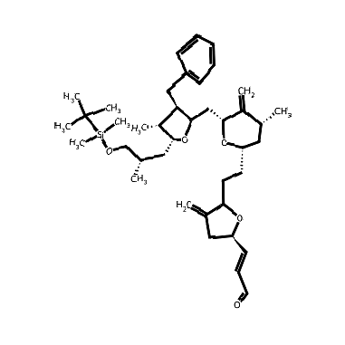 C=C1C[C@H](/C=C/C=O)OC1CC[C@H]1C[C@@H](C)C(=C)[C@@H](CC2O[C@H](C[C@H](C)CO[Si](C)(C)C(C)(C)C)[C@H](C)[C@H]2Cc2ccccc2)O1